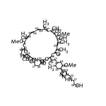 CO[C@H]1C[C@@H]2CC[C@@H](C)[C@@](O)(O2)C(=O)C(=O)N2CCCC[C@H]2C(=O)O[C@H]([C@H](C)C[C@@H]2CC[C@H](n3cc(CNCCO)nn3)[C@H](OC)C2)CC(=O)[C@H](C)/C=C(\C)[C@@H](O)[C@@H](OC)C(=O)[C@H](C)C[C@H](C)/C=C/C=C/C=C/1C